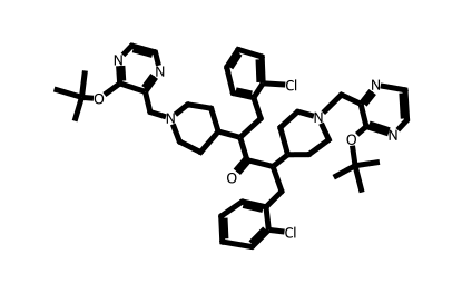 CC(C)(C)Oc1nccnc1CN1CCC(C(Cc2ccccc2Cl)C(=O)C(Cc2ccccc2Cl)C2CCN(Cc3nccnc3OC(C)(C)C)CC2)CC1